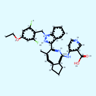 CCOc1cc(F)c(Cn2nc(C3=NC(Nc4ccncc4C(=O)O)=C4CCCC4=C=C3C)c3ccccc32)c(F)c1